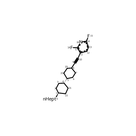 CCCCCCC[C@H]1CC[C@H](C2CCC(C#Cc3ccc(F)nc3F)CC2)CC1